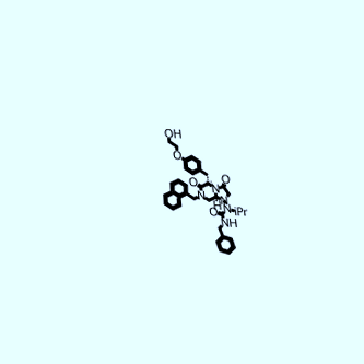 CC(C)N(C(=O)NCc1ccccc1)N1CC(=O)N2[C@@H](Cc3ccc(OCCO)cc3)C(=O)N(Cc3cccc4ccccc34)C[C@@H]21